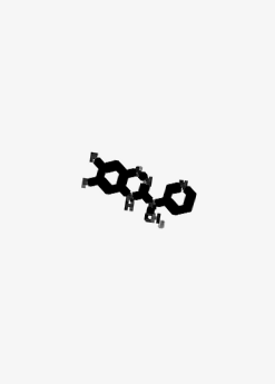 CN(C1=NSc2cc(F)c(F)cc2N1)c1cccnc1